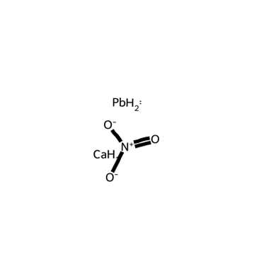 O=[N+]([O-])[O-].[CaH2].[PbH2]